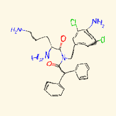 NCCCC(N)C(=O)N(Cc1cc(Cl)c(N)c(Cl)c1)C(=O)C(c1ccccc1)c1ccccc1